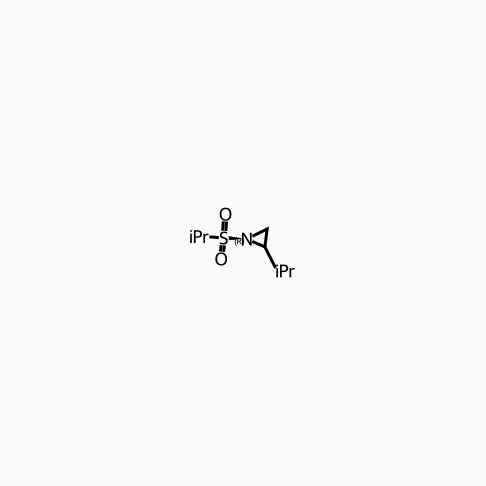 CC(C)C1C[N@]1S(=O)(=O)C(C)C